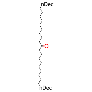 CCCCCCCCCCCCCCCCCCCC(=O)CCCCCCCCCCCCCCCCCCC